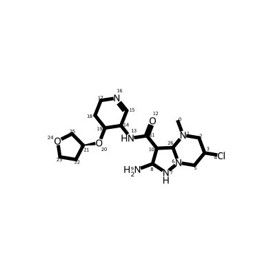 CN1CC(Cl)CN2NC(N)C(C(=O)NC3C=NCCC3O[C@H]3CCOC3)C12